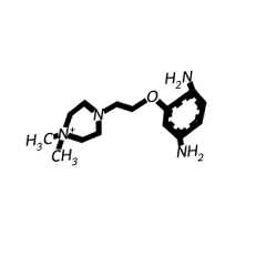 C[N+]1(C)CCN(CCOc2cc(N)ccc2N)CC1